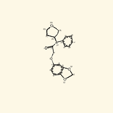 O=C(COc1ccc2c(c1)OCO2)N(c1ccccc1)C1CCOC1